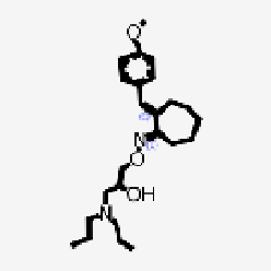 CCCN(CCC)CC(O)CO/N=C1\CCCCC\C1=C/c1ccc(OC)cc1